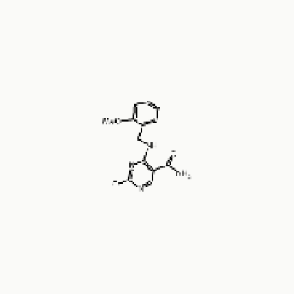 COc1ccccc1CNc1nc(Cl)ncc1C(N)=O